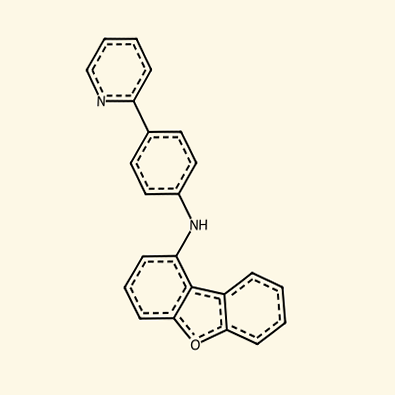 c1ccc(-c2ccc(Nc3cccc4oc5ccccc5c34)cc2)nc1